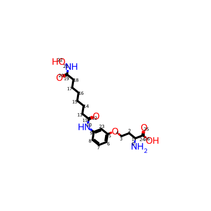 N[C@@H](CCOc1cccc(NC(=O)CCCCCCC(=O)NO)c1)C(=O)O